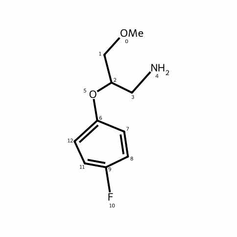 COCC(CN)Oc1ccc(F)cc1